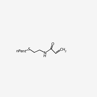 C=CC(=O)NCCSCCCCC